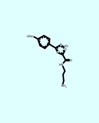 CCCCCCCCCCc1ccc(-c2noc(C(=O)NCCCN)n2)cc1.Cl